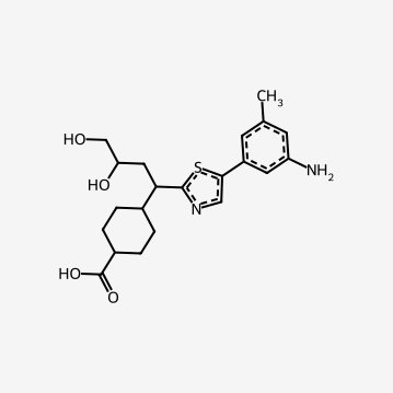 Cc1cc(N)cc(-c2cnc(C(CC(O)CO)C3CCC(C(=O)O)CC3)s2)c1